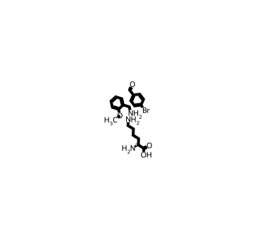 COc1ccccc1CN.NCCCC[C@H](N)C(=O)O.O=Cc1ccc(Br)cc1